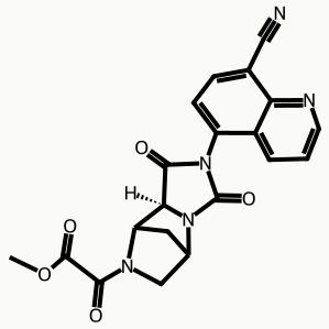 COC(=O)C(=O)N1CC2CC1[C@H]1C(=O)N(c3ccc(C#N)c4ncccc34)C(=O)N21